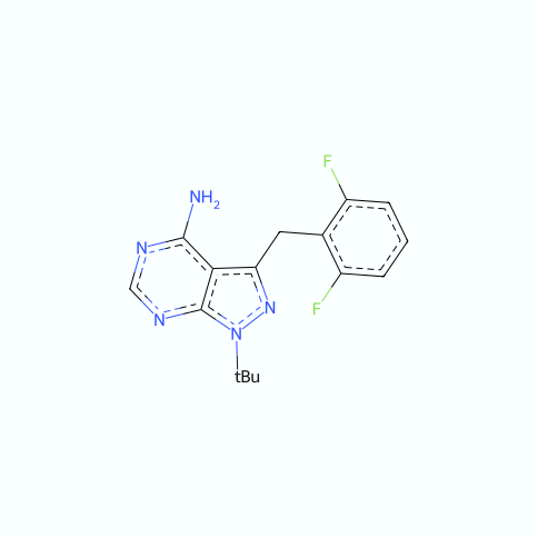 CC(C)(C)n1nc(Cc2c(F)cccc2F)c2c(N)ncnc21